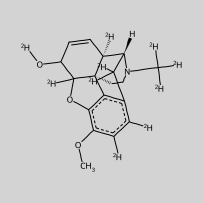 [2H]OC1C=C[C@@]2([2H])[C@@H]3N(C([2H])([2H])[2H])CC[C@@]24c2c(c(OC)c([2H])c([2H])c2C3([2H])[2H])OC14[2H]